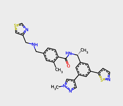 Cc1cc(CNCc2cscn2)ccc1C(=O)N[C@H](C)c1cc(-c2cnn(C)c2)cc(-c2ccns2)c1